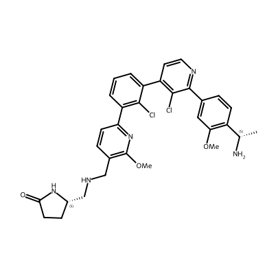 COc1cc(-c2nccc(-c3cccc(-c4ccc(CNC[C@@H]5CCC(=O)N5)c(OC)n4)c3Cl)c2Cl)ccc1[C@H](C)N